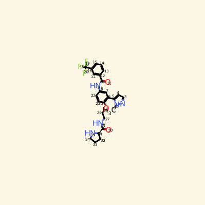 Cn1nccc1-c1cc(NC(=O)c2cccc(C(F)(F)F)c2)ccc1OCCNC(=O)[C@H]1CCCN1